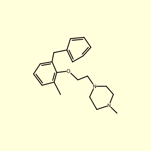 Cc1cccc(Cc2ccccc2)c1OCCN1CCN(C)CC1